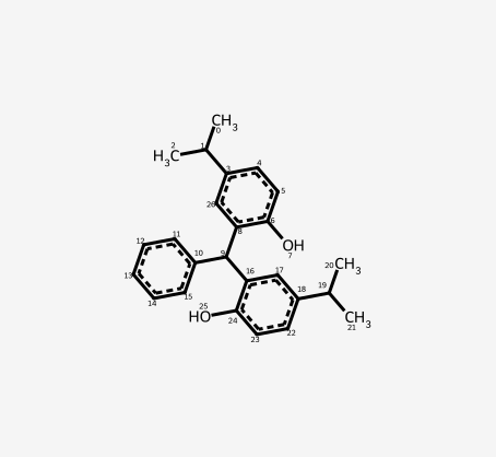 CC(C)c1ccc(O)c(C(c2ccccc2)c2cc(C(C)C)ccc2O)c1